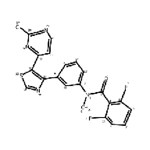 CN(C(=O)c1c(F)cccc1F)c1cccc(-c2ncsc2-c2ccnc(Cl)n2)c1